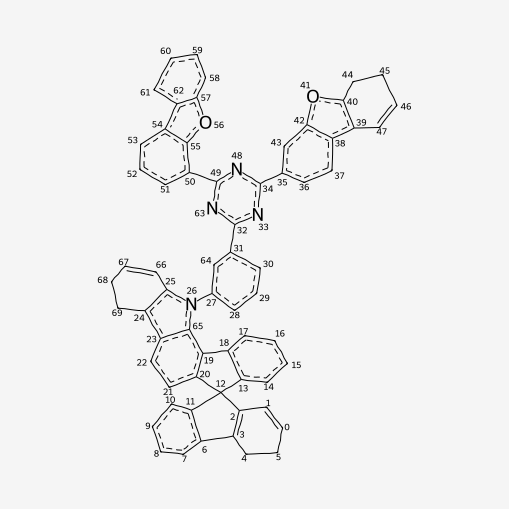 C1=CC2=C(CC1)c1ccccc1C21c2ccccc2-c2c1ccc1c3c(n(-c4cccc(-c5nc(-c6ccc7c8c(oc7c6)CCC=C8)nc(-c6cccc7c6oc6ccccc67)n5)c4)c21)C=CCC3